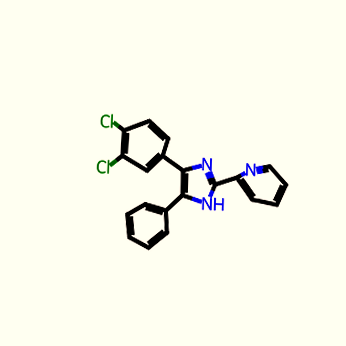 Clc1ccc(-c2nc(-c3ccccn3)[nH]c2-c2ccccc2)cc1Cl